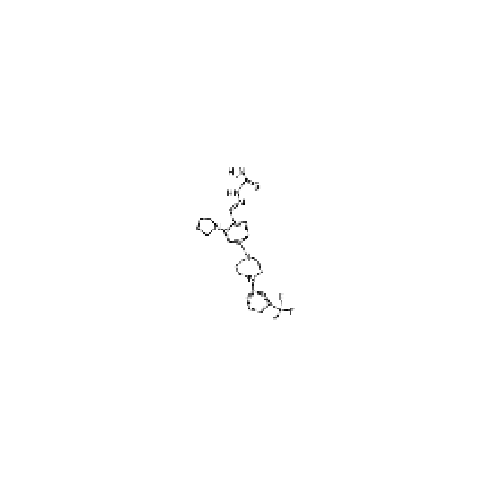 NC(=S)NN=Cc1ccc(N2CCN(c3cccc(C(F)(F)F)c3)CC2)cc1N1CCCC1